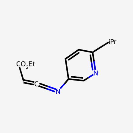 CCOC(=O)C=C=Nc1ccc(C(C)C)nc1